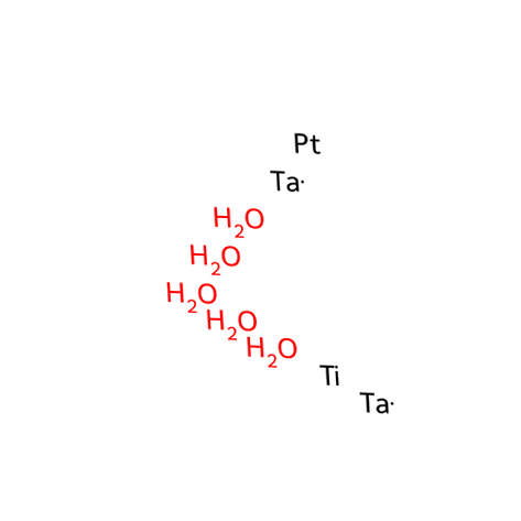 O.O.O.O.O.[Pt].[Ta].[Ta].[Ti]